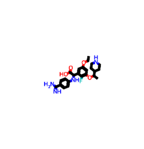 CCOc1cc(OC(C)C2CCNCC2)c(F)c(C(Nc2ccc(C(=N)N)cc2)C(=O)O)c1